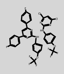 FC(F)(F)Oc1ccc(Nc2nc(Cl)cc(Cl)n2)cc1.Fc1ccc(-c2cc(-c3ccc(F)cc3)nc(Nc3ccc(OC(F)(F)F)cc3)n2)cc1